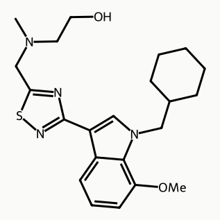 COc1cccc2c(-c3nsc(CN(C)CCO)n3)cn(CC3CCCCC3)c12